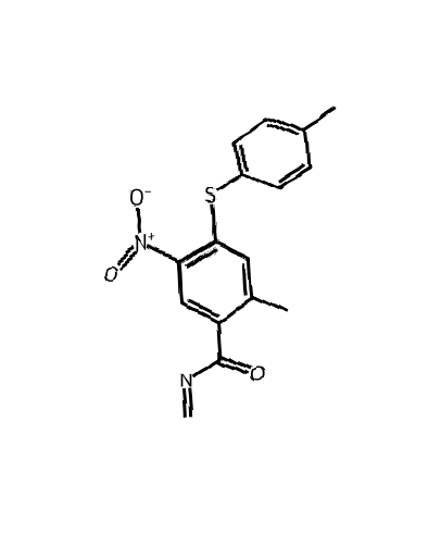 C=NC(=O)c1cc([N+](=O)[O-])c(Sc2ccc(C)cc2)cc1C